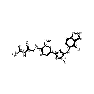 COC1CC(c2nc(Nc3ccc4[nH]ncc4c3Cl)n(C)n2)=CC=C1OCC(=O)NC(C)C(F)(F)F